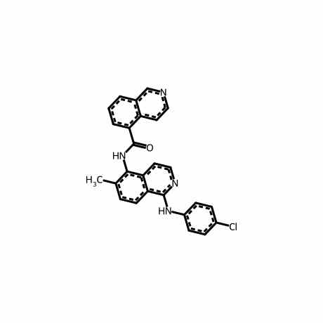 Cc1ccc2c(Nc3ccc(Cl)cc3)nccc2c1NC(=O)c1cccc2cnccc12